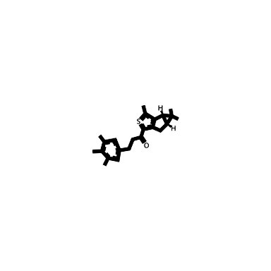 Cc1cc(CCC(=O)c2sc(C)c3c2C[C@@H]2[C@H]3C2(C)C)cc(C)c1C